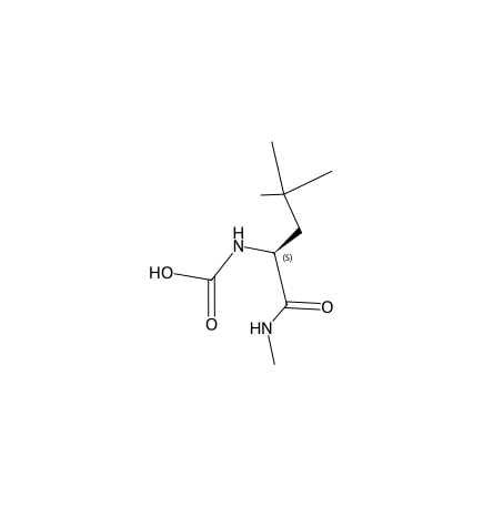 CNC(=O)[C@H](CC(C)(C)C)NC(=O)O